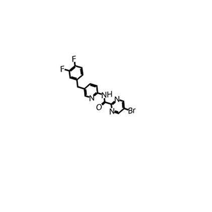 O=C(Nc1ccc(Cc2ccc(F)c(F)c2)cn1)c1ncc(Br)cn1